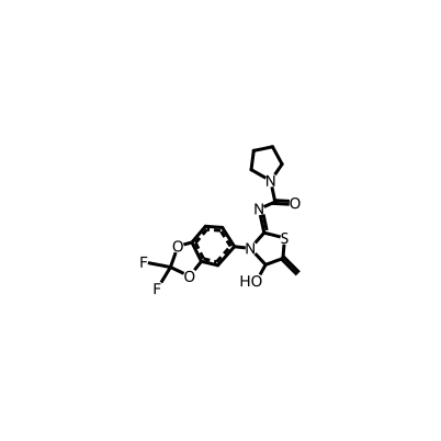 C=C1SC(=NC(=O)N2CCCC2)N(c2ccc3c(c2)OC(F)(F)O3)C1O